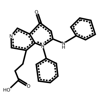 O=C(O)CCc1cncc2c(=O)cc(Nc3ccccc3)n(-c3ccccc3)c12